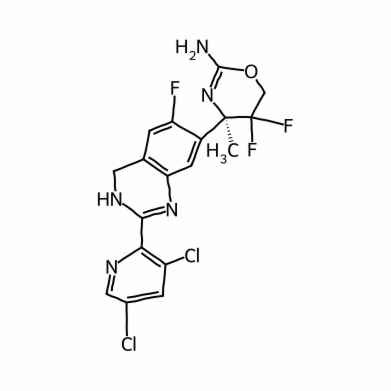 C[C@]1(c2cc3c(cc2F)CNC(c2ncc(Cl)cc2Cl)=N3)N=C(N)OCC1(F)F